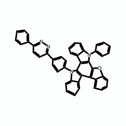 c1ccc(-c2ccc(-c3ccc(-n4c5ccccc5c5c6c7ccccc7oc6c6c(c7ccccc7n6-c6ccccc6)c54)cc3)nn2)cc1